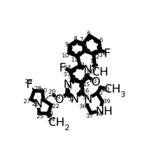 C#Cc1c(F)ccc2cccc(-c3nc4c5c(nc(OC[C@]67CC(=C)CN6C[C@H](F)C7)nc5c3F)N3CCNCC3C(C)O4)c12